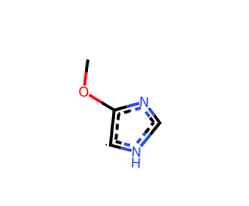 COc1[c][nH]cn1